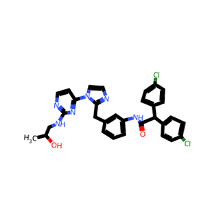 CC(O)CNc1nccc(-n2ccnc2Cc2cccc(NC(=O)C(c3ccc(Cl)cc3)c3ccc(Cl)cc3)c2)n1